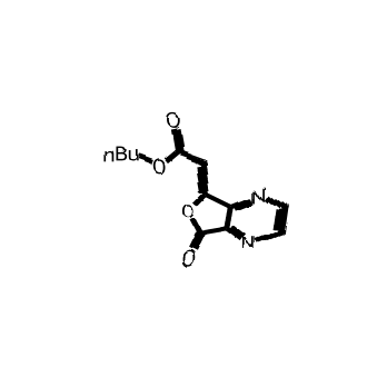 CCCCOC(=O)C=C1OC(=O)c2nccnc21